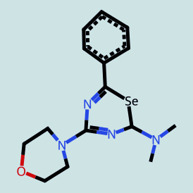 CN(C)C1N=C(N2CCOCC2)N=C(c2ccccc2)[Se]1